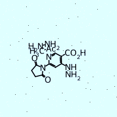 CC(C)=O.NN.NNc1cc(N2C(=O)CCC2=O)ncc1C(=O)O